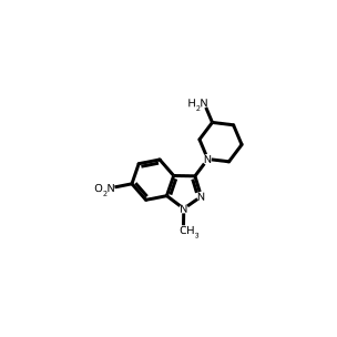 Cn1nc(N2CCCC(N)C2)c2ccc([N+](=O)[O-])cc21